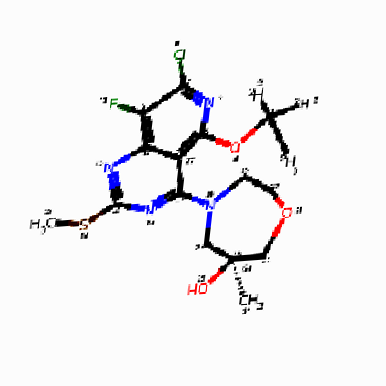 [2H]C([2H])([2H])Oc1nc(Cl)c(F)c2nc(SC)nc(N3CCOC[C@@](C)(O)C3)c12